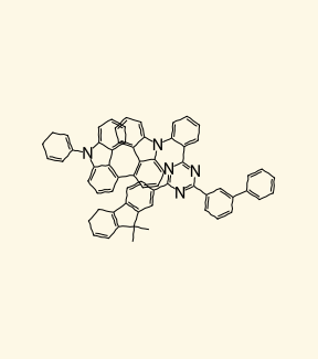 CC1(C)C2=C(CCC=C2)c2ccc(-c3nc(-c4cccc(-c5ccccc5)c4)nc(-c4ccccc4-n4c5ccccc5c5c(-c6cccc7c6c6ccccc6n7C6=CCCC=C6)cccc54)n3)cc21